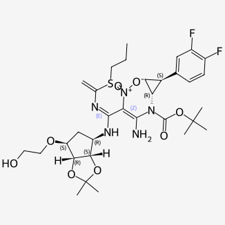 C=C(/N=C(N[C@@H]1C[C@H](OCCO)[C@H]2OC(C)(C)O[C@H]21)\C(=C(/N)N(C(=O)OC(C)(C)C)[C@@H]1C[C@H]1c1ccc(F)c(F)c1)[N+](=O)[O-])SCCC